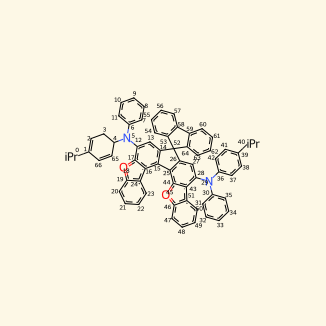 CC(C)C1=CCC(N(c2ccccc2)c2cc3c(c4c2oc2ccccc24)-c2c(cc(N(c4ccccc4)c4ccc(C(C)C)cc4)c4c2oc2ccccc24)C32c3ccccc3-c3ccccc32)C=C1